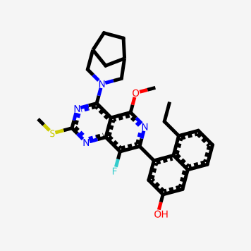 CCc1cccc2cc(O)cc(-c3nc(OC)c4c(N5CC6CCC(C6)C5)nc(SC)nc4c3F)c12